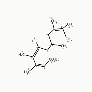 CCOC(=O)C=C(C)C(C)=C(C)CC(C)CC(C)=C(C)C